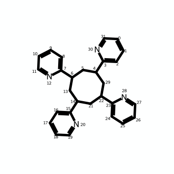 c1ccc(C2CC(c3ccccn3)CC(c3ccccn3)CC(c3ccccn3)C2)nc1